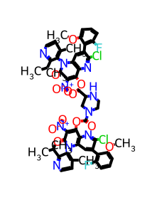 COc1cccc(F)c1-c1cc2c(nc1Cl)c(OC(=O)C1CN(C(=O)Oc3c([N+](=O)[O-])c(=O)n(-c4c(C)ccnc4C(C)C)c4cc(-c5c(F)cccc5OC)c(Cl)nc34)CCN1)c([N+](=O)[O-])c(=O)n2-c1c(C)ccnc1C(C)C